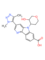 Cc1nnn(C)c1-c1cnc2c3ccc(C(=O)O)cc3n(C3CCOCC3O)c2c1